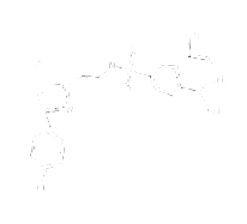 Cc1sc(-c2ccc(Cl)cc2)nc1CCNS(=O)(=O)c1ccc(C(C)C)c(C(=O)O)c1